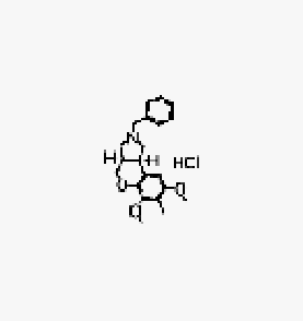 COc1cc2c(c(OC)c1C)OC[C@H]1CN(Cc3ccccc3)C[C@@H]21.Cl